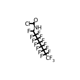 O=C(Cl)NC(F)C(F)(F)C(F)(F)C(F)(F)C(F)(F)C(F)(F)C(F)(F)C(F)(F)F